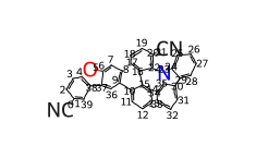 N#Cc1ccc2oc3ccc(-c4ccccc4-c4cccc(C#N)c4-n4c5ccccc5c5ccccc54)cc3c2c1